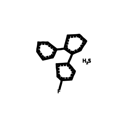 Fc1ccc(-c2ccccc2-c2ccccc2)cc1.S